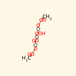 C=CC(=O)OCCCOc1ccc(C(=O)Oc2ccc(OC(O)c3ccc(OCCCOC(=O)C=C)cc3)cc2)cc1